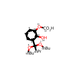 CCCCOC(CCC)(OCCCC)c1cccc(OC(=O)O)c1O